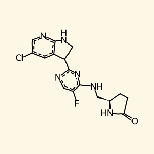 O=C1CC[C@H](CNc2nc(C3CNc4ncc(Cl)cc43)ncc2F)N1